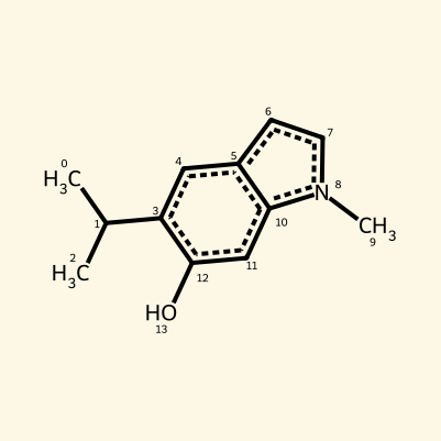 CC(C)c1cc2ccn(C)c2cc1O